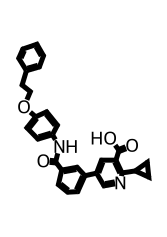 O=C(Nc1ccc(OCCc2ccccc2)cc1)c1cccc(-c2cnc(C3CC3)c(C(=O)O)c2)c1